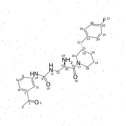 CC(=O)c1cccc(NC(=O)NC[C@@H](N)C(=O)N2CCC[C@@H](Cc3ccc(F)cc3)C2)c1